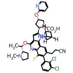 CC(Oc1nc2c(F)c(-c3cccc(Cl)c3Cl)c(CCC#N)cc2c2c1cc([C@H]1C[C@H](Oc3ccccn3)CN1C(=O)O)n2[C@H]1[C@H]2CN[C@@H]1C2)[C@@H]1CCCN1C